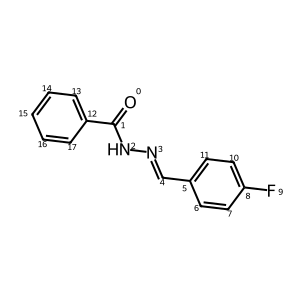 O=C(N/N=C/c1ccc(F)cc1)c1ccccc1